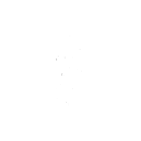 O=C(Nc1ccncc1)c1cc(F)ccc1Br